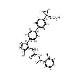 Cc1ccccc1[C@@H](C)OC(=O)Nc1c(C)nsc1-c1ccc(-c2ccc(C3(C(=O)O)CC3)cc2)cc1